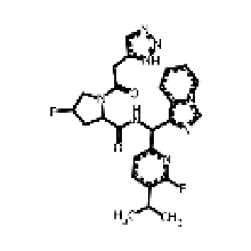 CC(C)c1ccc(C(NC(=O)C2CC(F)CN2C(=O)Cc2cnn[nH]2)c2ncn3ccccc23)nc1F